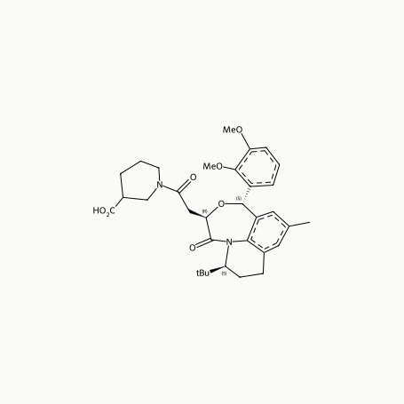 COc1cccc([C@H]2O[C@H](CC(=O)N3CCCC(C(=O)O)C3)C(=O)N3c4c(cc(C)cc42)CC[C@H]3C(C)(C)C)c1OC